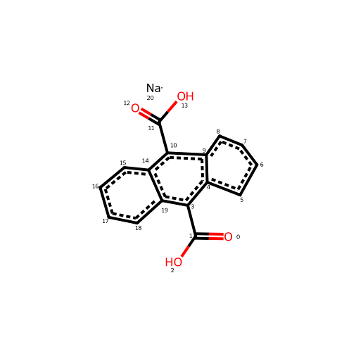 O=C(O)c1c2ccccc2c(C(=O)O)c2ccccc12.[Na]